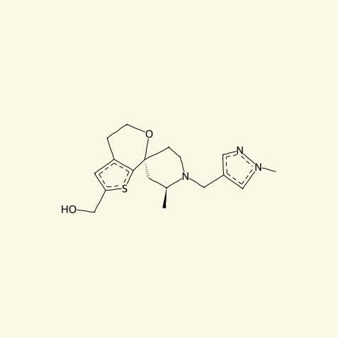 C[C@H]1C[C@@]2(CCN1Cc1cnn(C)c1)OCCc1cc(CO)sc12